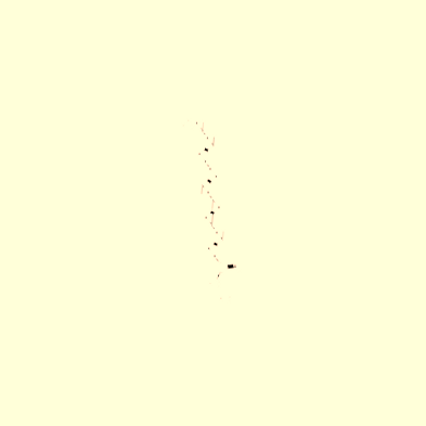 O=N/N=N/N=N/N=N/N=N/S(=O)OO